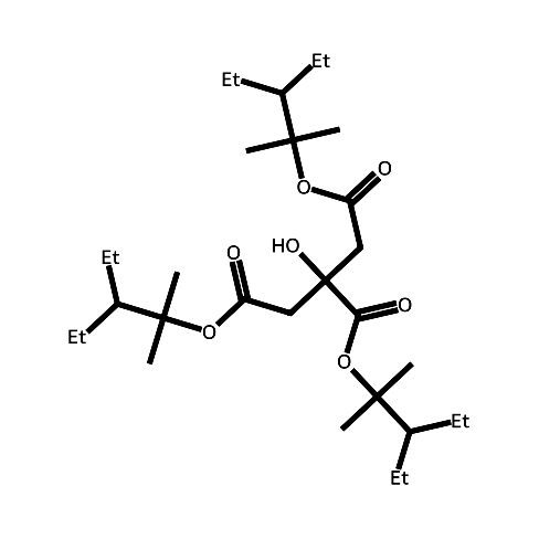 CCC(CC)C(C)(C)OC(=O)CC(O)(CC(=O)OC(C)(C)C(CC)CC)C(=O)OC(C)(C)C(CC)CC